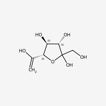 C=C(O)[C@H]1OC(O)(CO)[C@@H](O)[C@@H]1O